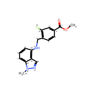 COC(=O)c1ccc(CNc2cccc3c2cnn3C)c(F)c1